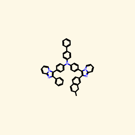 CC1C=Cc2ccc(-c3nc4ccccn4c3-c3ccc(N(c4ccc(-c5ccccc5)cc4)c4ccc(-c5c(-c6ccccc6)nc6ccccn56)cc4)cc3)cc2C1